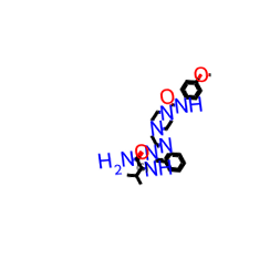 COc1ccc(NC(=O)N2CCN(Cc3nc(N[C@H](C(N)=O)C(C)C)c4ccccc4n3)CC2)cc1